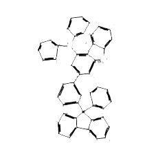 c1ccc(N(c2ccccc2)c2cc(-c3cccc(C4(c5ccccc5)c5ccccc5-c5ccccc54)c3)cc3oc4ccccc4c23)cc1